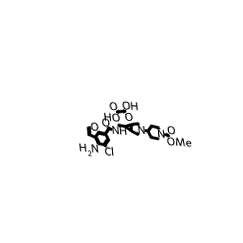 COC(=O)N1CCC(N2CC3C(CNC(=O)c4cc(Cl)c(N)c5ccoc45)C3C2)CC1.O=C(O)C(=O)O